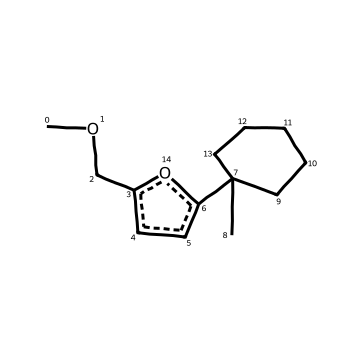 COCc1ccc(C2(C)CCCCC2)o1